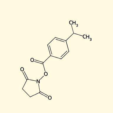 CC(C)c1ccc(C(=O)ON2C(=O)CCC2=O)cc1